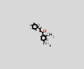 Cc1ccc(C(=O)/C=C/c2ccccc2)c(C)c1